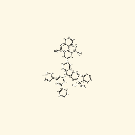 CC1(C)c2ccccc2-c2cc3c4cc(-c5cc(C(=O)O)c(-c6ncccn6)c(C(=O)O)c5)ccc4n(-c4cc(-c5ccccc5)nc(-c5ccccc5)n4)c3cc21